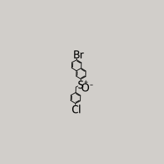 [O-][S+](Cc1ccc(Cl)cc1)c1ccc2cc(Br)ccc2c1